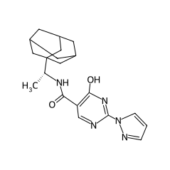 C[C@@H](NC(=O)c1cnc(-n2cccn2)nc1O)C12CC3CC(CC(C3)C1)C2